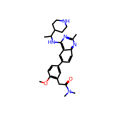 COc1ccc(-c2ccc3nc(C)nc(NC(C)C4CCNCC4)c3c2)cc1CC(=O)N(C)C